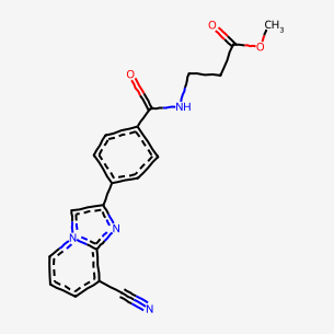 COC(=O)CCNC(=O)c1ccc(-c2cn3cccc(C#N)c3n2)cc1